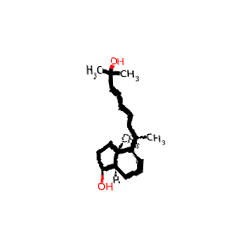 C[C@H](C/C=C/C=C/C(C)(C)O)[C@H]1CCC[C@H]2[C@@H](O)CCC[C@]12C